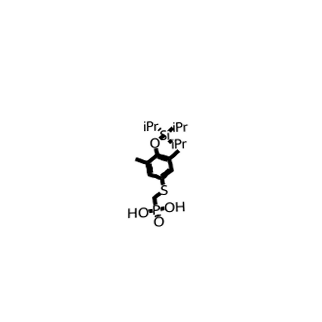 Cc1cc(SCP(=O)(O)O)cc(C)c1O[Si](C(C)C)(C(C)C)C(C)C